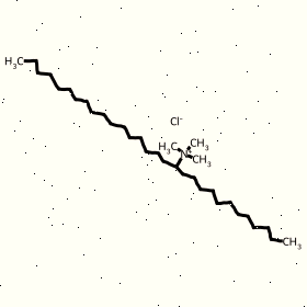 CCCCCCCCCCCCCCCCCC(CCCCCCCCCCCC)[N+](C)(C)C.[Cl-]